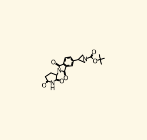 CC(C)(C)OC(=O)N1CC(c2ccc3c(c2)C(=O)N(C2CCC(=O)NC2=O)C3=O)C1